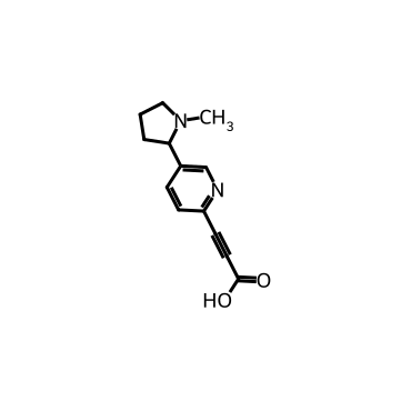 CN1CCCC1c1ccc(C#CC(=O)O)nc1